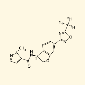 [2H]C([2H])([2H])c1nc(-c2ccc3c(c2)OC[C@H]3NC(=O)c2ccnn2C)no1